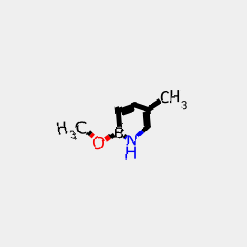 COB1C=CC(C)=CN1